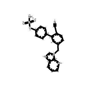 N#Cc1ccc(Cn2cnc3cccnc32)cc1-c1ccc(OS(N)(=O)=O)cc1